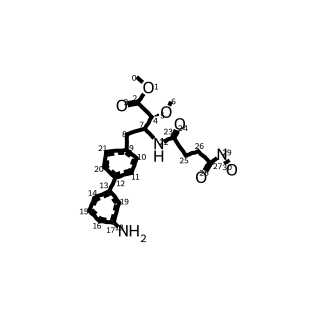 COC(=O)[C@H](OC)C(Cc1ccc(-c2cccc(N)c2)cc1)NC(=O)CCC(=O)N=O